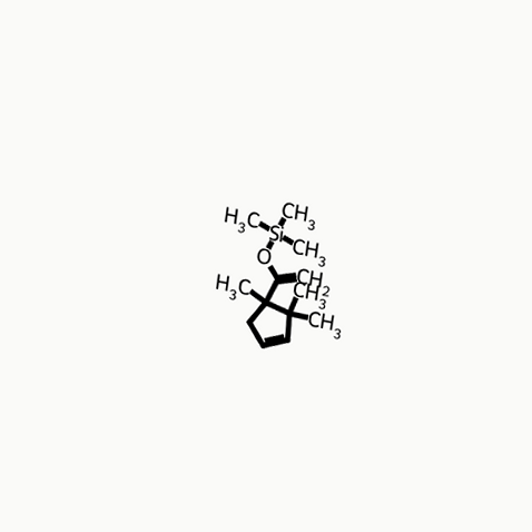 C=C(O[Si](C)(C)C)C1(C)CC=CC1(C)C